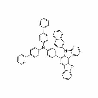 c1ccc(-c2ccc(N(c3ccc(-c4ccccc4)cc3)c3ccc(-c4cc5c6ccccc6oc5c5c6ccccc6n(-c6ccc7ccccc7c6)c45)cc3)cc2)cc1